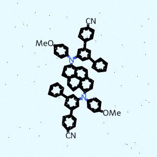 COc1ccc(N(c2cc(-c3ccccc3)cc(-c3ccc(C#N)cc3)c2)c2ccc3ccc4c(N(c5ccc(OC)cc5)c5cc(-c6ccccc6)cc(-c6ccc(C#N)cc6)c5)ccc5ccc2c3c54)cc1